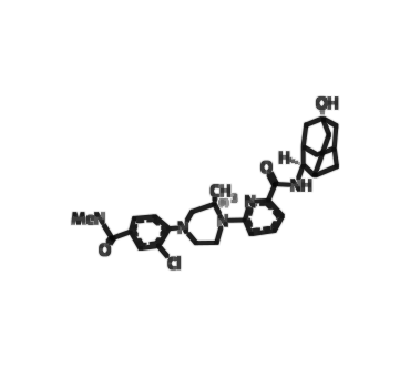 CNC(=O)c1ccc(N2CCN(c3cccc(C(=O)N[C@H]4C5CC6CC4C[C@](O)(C6)C5)n3)[C@H](C)C2)c(Cl)c1